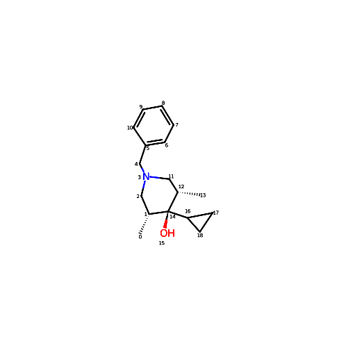 C[C@@H]1CN(Cc2ccccc2)C[C@H](C)[C@]1(O)C1CC1